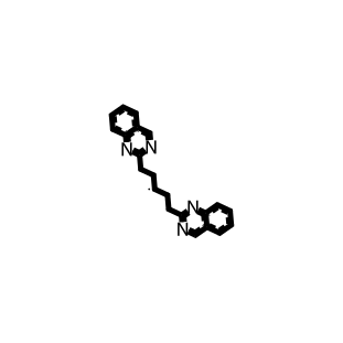 [CH](CCc1ncc2ccccc2n1)CCc1ncc2ccccc2n1